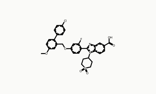 COc1ccc(-c2ccc(Cl)cc2)c(COc2ccc(-c3nc4cc(C(=O)O)ccc4n3C3CCS(=O)(=O)CC3)c(F)c2)c1